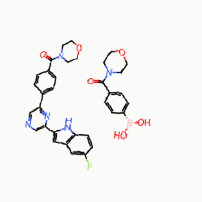 O=C(c1ccc(-c2cncc(-c3cc4cc(F)ccc4[nH]3)n2)cc1)N1CCOCC1.O=C(c1ccc(B(O)O)cc1)N1CCOCC1